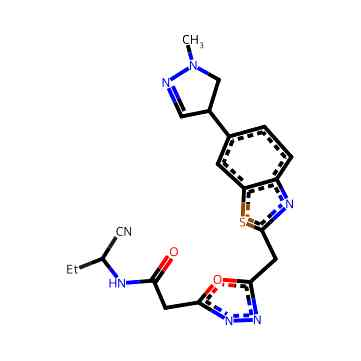 CCC(C#N)NC(=O)Cc1nnc(Cc2nc3ccc(C4C=NN(C)C4)cc3s2)o1